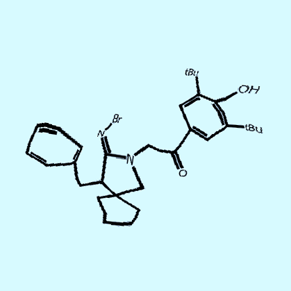 CC(C)(C)c1cc(C(=O)CN2CC3(CCCC3)C(Cc3ccccc3)/C2=N/Br)cc(C(C)(C)C)c1O